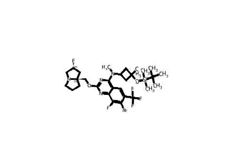 CN(c1nc(OC[C@@]23CCCN2C[C@H](F)C3)nc2c(F)c(Br)c(C(F)(F)F)cc12)C1CC(C)(O[Si](C)(C)C(C)(C)C)C1